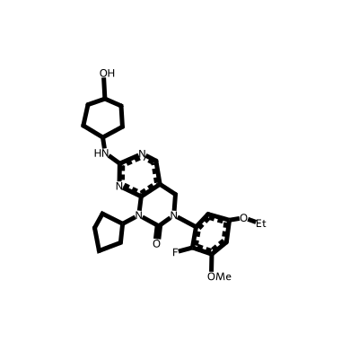 CCOc1cc(OC)c(F)c(N2Cc3cnc(NC4CCC(O)CC4)nc3N(C3CCCC3)C2=O)c1